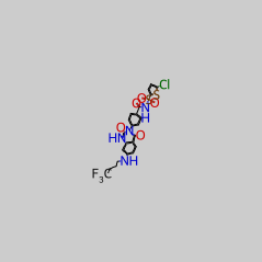 O=C(NS(=O)(=O)c1ccc(Cl)s1)c1ccc(-n2c(=O)[nH]c3cc(NCCCC(F)(F)F)ccc3c2=O)cc1